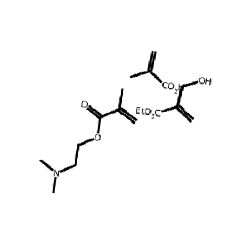 C=C(C)C(=O)O.C=C(C)C(=O)OCCN(C)C.C=C(CO)C(=O)OCC